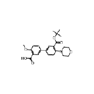 COc1ccc(-c2ccc(N3CCOCC3)c(C(=O)OC(C)(C)C)c2)cc1C(=O)O